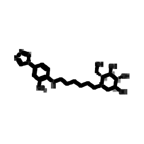 O=[N+]([O-])c1cc(-n2cnnn2)ccc1NCCCCCCN1C[C@H](O)[C@@H](O)[C@H](O)[C@H]1CO